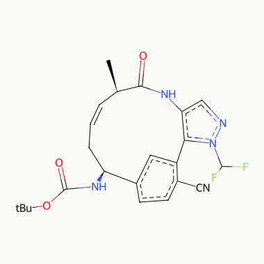 C[C@@H]1C=CC[C@H](NC(=O)OC(C)(C)C)c2ccc(C#N)c(c2)-c2c(cnn2C(F)F)NC1=O